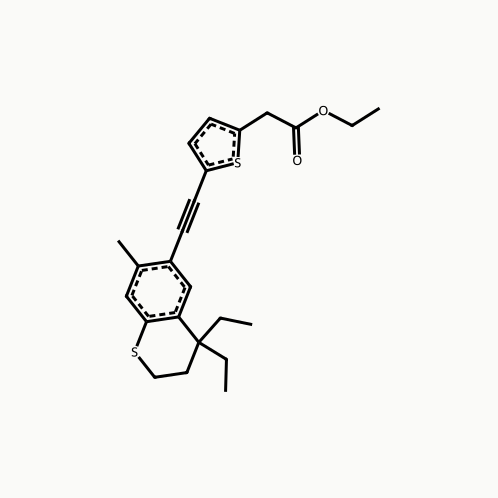 CCOC(=O)Cc1ccc(C#Cc2cc3c(cc2C)SCCC3(CC)CC)s1